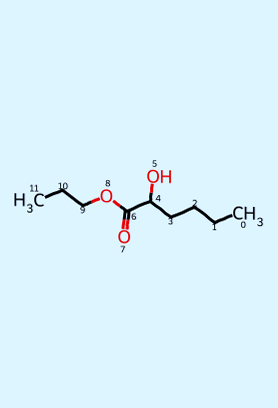 CCCCC(O)C(=O)OCCC